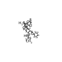 CCC(=O)NOc1cc(CC)c(-c2nn(C)c(OC(F)F)c2Cl)cc1COc1ccccc1